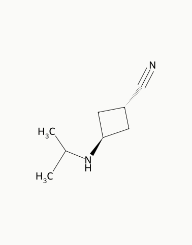 CC(C)N[C@H]1C[C@H](C#N)C1